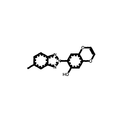 Cc1ccc2nn(-c3cc4c(cc3O)OC=CO4)nc2c1